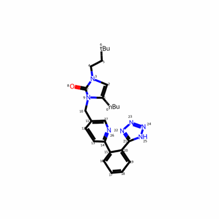 CCCCc1cn(CCC(C)(C)C)c(=O)n1Cc1ccc(-c2ccccc2-c2nnn[nH]2)nc1